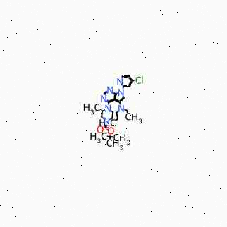 CCCN(CC)c1cn(-c2cc(Cl)ccn2)c2ncnc(N3CCN(C(=O)OC(C)(C)C)C[C@@H]3C)c12